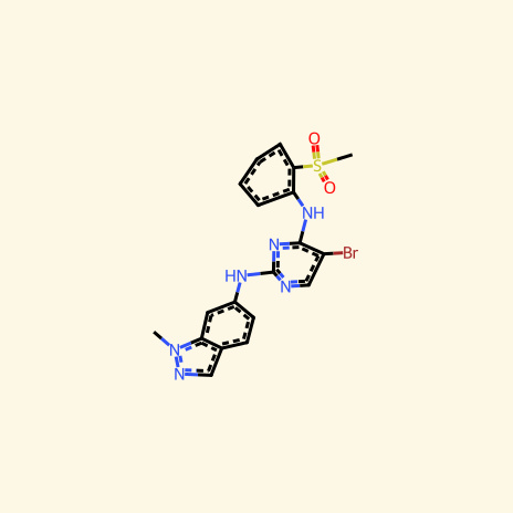 Cn1ncc2ccc(Nc3ncc(Br)c(Nc4ccccc4S(C)(=O)=O)n3)cc21